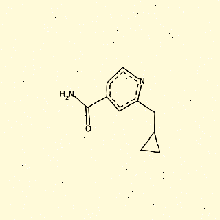 NC(=O)c1ccnc(CC2CC2)c1